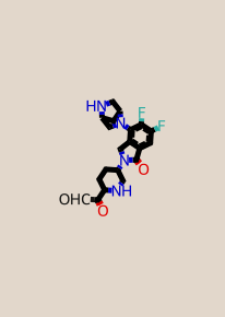 O=CC(=O)C1CCC(N2Cc3c(cc(F)c(F)c3N3CC4CC3CN4)C2=O)CN1